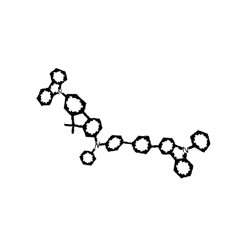 CC1(C)c2cc(N(c3ccccc3)c3ccc(-c4ccc(-c5ccc6c(c5)c5ccccc5n6-c5ccccc5)cc4)cc3)ccc2-c2ccc(-n3c4ccccc4c4ccccc43)cc21